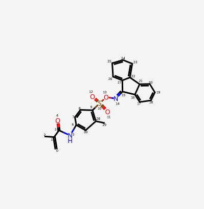 C=C(C)C(=O)Nc1ccc(S(=O)(=O)ON=C2c3ccccc3-c3ccccc32)c(C)c1